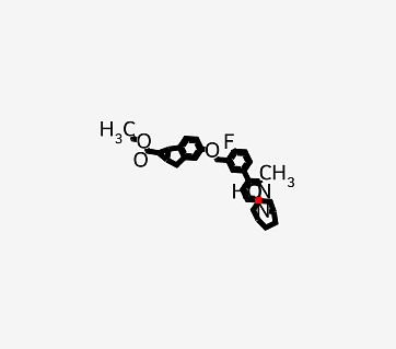 CCOC(=O)C1C2Cc3cc(OCc4cc(-c5ccc(N6C7CCC6CC(O)C7)nc5C)ccc4F)ccc3C21